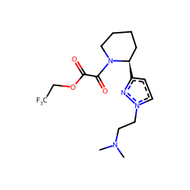 CN(C)CCn1ccc([C@@H]2CCCCN2C(=O)C(=O)OCC(F)(F)F)n1